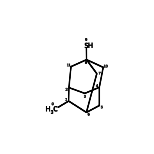 CC1C2CC3CC1CC(S)(C3)C2